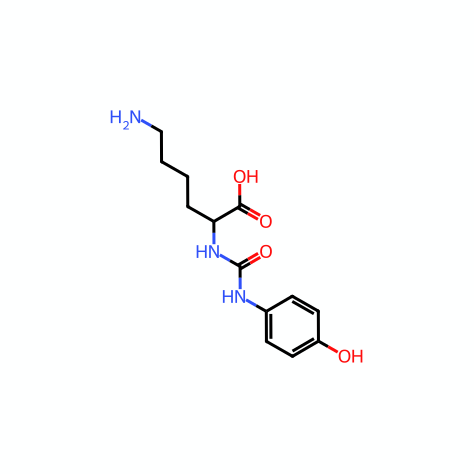 NCCCCC(NC(=O)Nc1ccc(O)cc1)C(=O)O